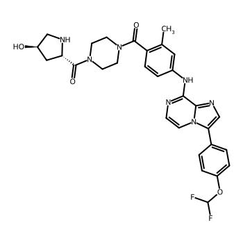 Cc1cc(Nc2nccn3c(-c4ccc(OC(F)F)cc4)cnc23)ccc1C(=O)N1CCN(C(=O)[C@@H]2C[C@@H](O)CN2)CC1